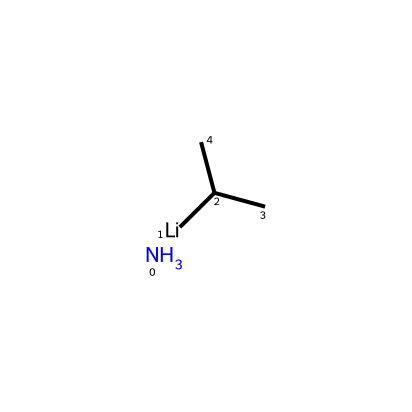 N.[Li][CH](C)C